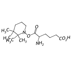 CC1(C)CCCN(OC(=O)C(N)CCCC(=O)O)C1(C)C